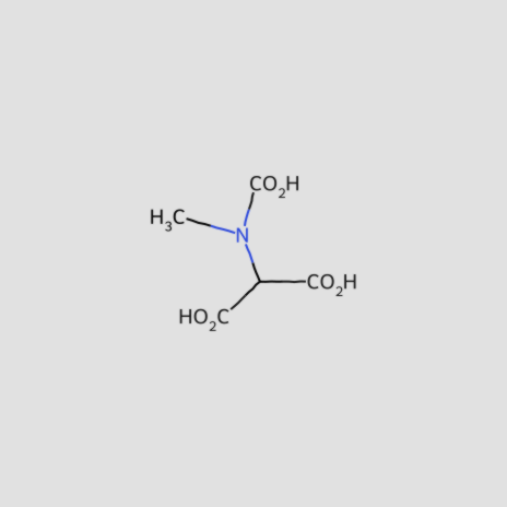 CN(C(=O)O)C(C(=O)O)C(=O)O